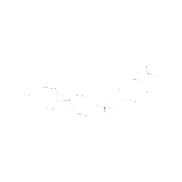 CC(C)N1CCN(CC(C)(C)N2CCC(N3CCN(C)CC3)CC2)CC1